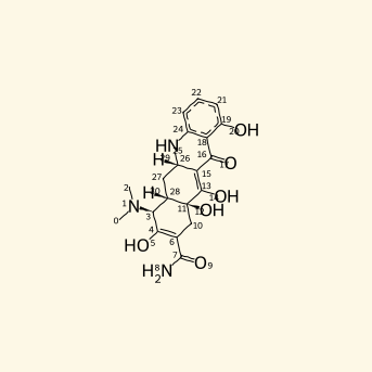 CN(C)[C@@H]1C(O)=C(C(N)=O)C[C@@]2(O)C(O)=C3C(=O)c4c(O)cccc4N[C@H]3C[C@@H]12